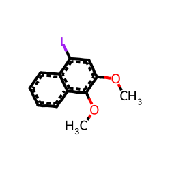 COc1cc(I)c2ccccc2c1OC